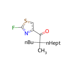 CCCCCCCC(C)(CCCC)C(=O)c1csc(F)n1